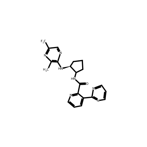 Cc1nc(C(F)(F)F)cnc1N[C@H]1CCCC1NC(=O)c1ncccc1-c1ncccn1